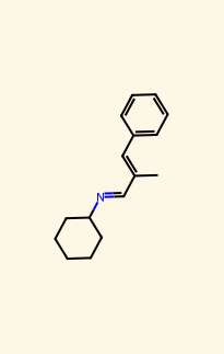 CC(C=NC1CCCCC1)=Cc1ccccc1